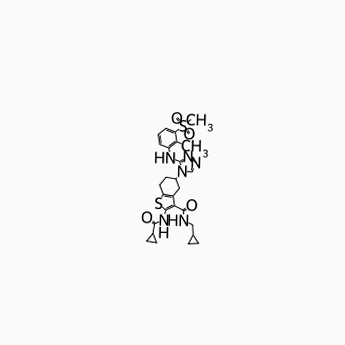 Cc1c(Nc2nncn2[C@H]2CCc3sc(NC(=O)C4CC4)c(C(=O)NCC4CC4)c3C2)cccc1S(C)(=O)=O